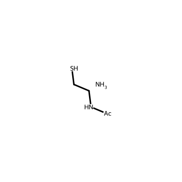 CC(=O)NCCS.N